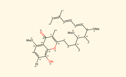 C\C=C(C)/C=C/C=C/C(OC)C(C)C(OC)C(C)CCc1oc2c(O)c(CC)cc(OC)c2c(=O)c1C